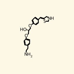 NCCc1ccc(OC[C@@H](O)COc2ccc(C=C3CNCS3)cc2)cc1